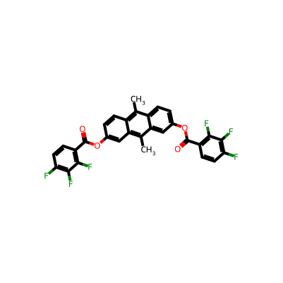 Cc1c2ccc(OC(=O)c3ccc(F)c(F)c3F)cc2c(C)c2cc(OC(=O)c3ccc(F)c(F)c3F)ccc12